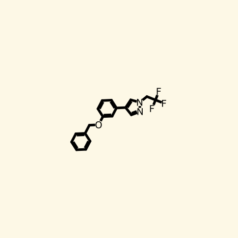 FC(F)(F)Cn1cc(-c2cccc(OCc3ccccc3)c2)cn1